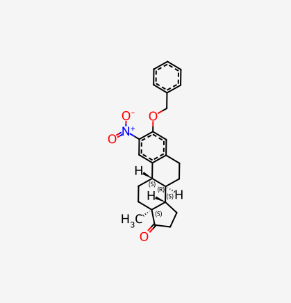 C[C@]12CC[C@@H]3c4cc([N+](=O)[O-])c(OCc5ccccc5)cc4CC[C@H]3[C@@H]1CCC2=O